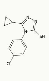 Sc1nnc(C2CC2)n1-c1ccc(Cl)cc1